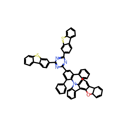 C1=CC2Oc3c(ccc4c3c3ccccc3n4-c3c(-c4ccccc4)cc(-c4nc(-c5ccc6c(c5)sc5ccccc56)nc(-c5ccc6c(c5)sc5ccccc56)n4)cc3-c3ccccc3)C2C=C1